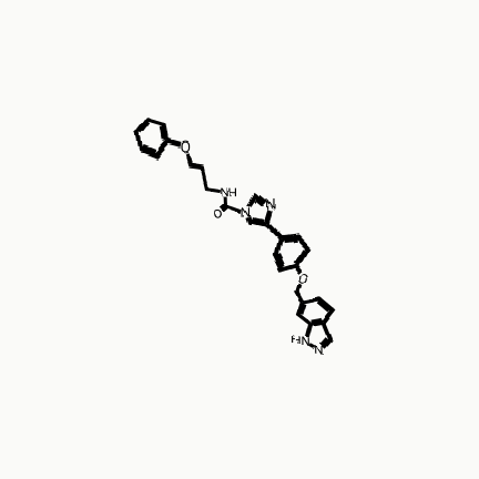 O=C(NCCCOc1ccccc1)n1cnc(-c2ccc(OCc3ccc4cn[nH]c4c3)cc2)c1